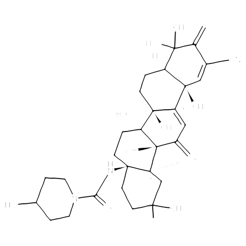 CC1(C)CC[C@]2(NC(=O)N3CCC(O)CC3)CC[C@]3(C)[C@H](C(=O)C=C4[C@@]5(C)C=C(C#N)C(=O)C(C)(C)[C@@H]5CC[C@]43C)[C@H]2C1